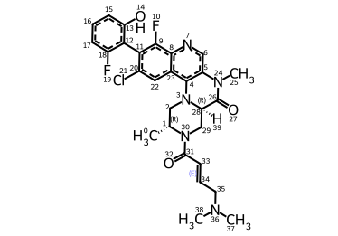 C[C@@H]1CN2c3c(cnc4c(F)c(-c5c(O)cccc5F)c(Cl)cc34)N(C)C(=O)[C@H]2CN1C(=O)/C=C/CN(C)C